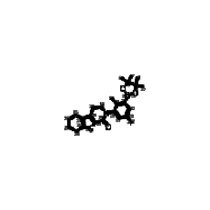 [CH2]c1c(B2OC(C)(C)C(C)(C)O2)cc(F)cc1N1CCc2c(sc3c2CCCC3)C1=O